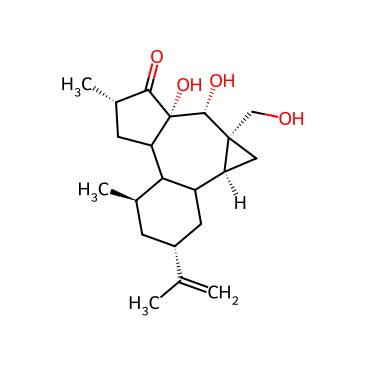 C=C(C)[C@H]1CC2C(C3C[C@H](C)C(=O)[C@@]3(O)[C@H](O)[C@@]3(CO)C[C@@H]23)[C@H](C)C1